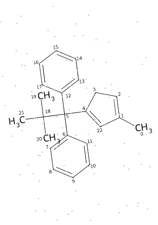 CC1=CCC(C(c2ccccc2)(c2ccccc2)C(C)(C)C)=C1